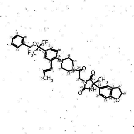 CC=Cc1cc(C(OCc2ccccc2)(C(F)(F)F)C(F)(F)F)ccc1N1CCN(C(=O)CN2C(=O)NC(C)(c3ccc4c(c3)CCO4)C2=O)CC1